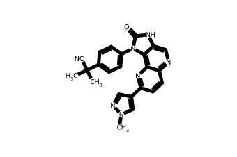 Cn1cc(-c2ccc3ncc4[nH]c(=O)n(-c5ccc(C(C)(C)C#N)cc5)c4c3n2)cn1